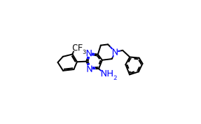 Nc1nc(C2=C(C(F)(F)F)CCC=C2)nc2c1CN(Cc1ccccc1)CC2